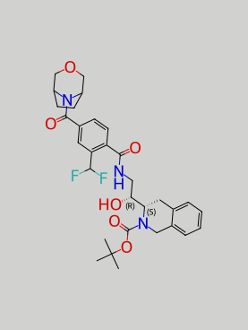 CC(C)(C)OC(=O)N1Cc2ccccc2C[C@H]1[C@H](O)CNC(=O)c1ccc(C(=O)N2C3CCC2COC3)cc1C(F)F